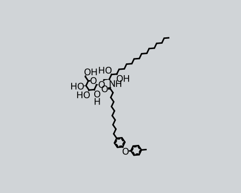 CCCCCCCCCCCCCC[C@@H](O)[C@@H](O)[C@H](CO[C@H]1OC(CO)[C@@H](O)[C@H](O)C1O)NC(=O)CCCCCCCCCCc1ccc(Oc2ccc(C)cc2)cc1